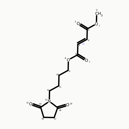 COC(=O)/C=C/C(=O)OCCCCN1C(=O)CCC1=O